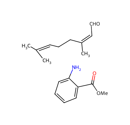 CC(C)=CCCC(C)=CC=O.COC(=O)c1ccccc1N